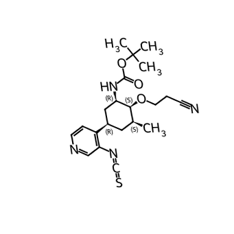 C[C@H]1C[C@@H](c2ccncc2N=C=S)C[C@@H](NC(=O)OC(C)(C)C)[C@H]1OCCC#N